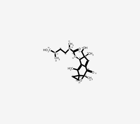 CC1=C2C(=C[C@@](C)(CO)[C@@H]2OC(=O)N(C)CCN(C)C(=O)O)C(=O)[C@](C)(O)C12CC2